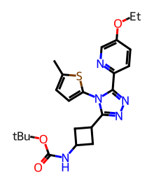 CCOc1ccc(-c2nnc(C3CC(NC(=O)OC(C)(C)C)C3)n2-c2ccc(C)s2)nc1